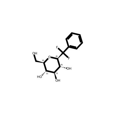 OC[C@H]1O[C@@H](C(F)(F)c2ccccc2)[C@H](O)[C@@H](O)[C@@H]1O